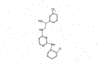 OC(CNc1ccnc(Nc2ccccc2Cl)n1)c1cccc(C(F)(F)F)c1